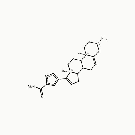 CNC(=O)c1cn(C2=CCC3C4CC=C5C[C@@H](N)CC[C@]5(C)C4CC[C@]23C)cn1